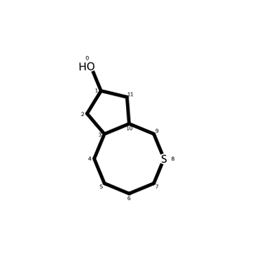 OC1CC2CCCCSCC2C1